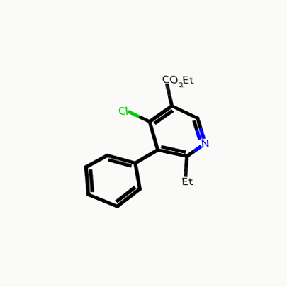 CCOC(=O)c1cnc(CC)c(-c2ccccc2)c1Cl